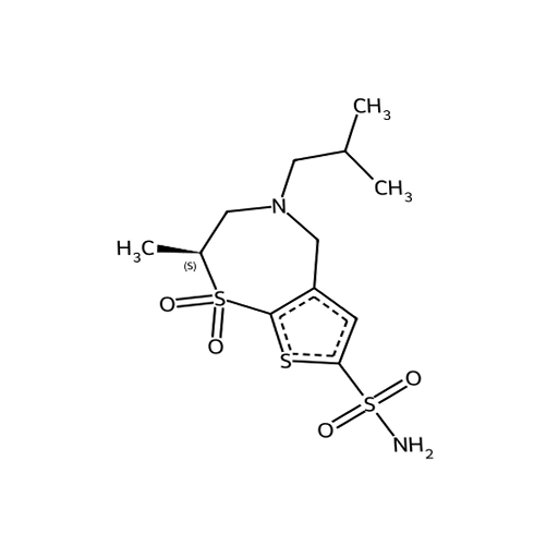 CC(C)CN1Cc2cc(S(N)(=O)=O)sc2S(=O)(=O)[C@@H](C)C1